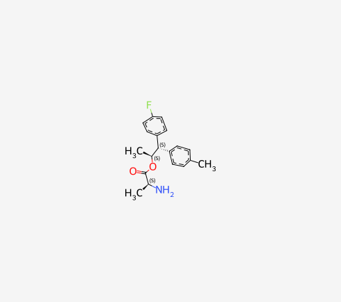 Cc1ccc([C@@H](c2ccc(F)cc2)[C@H](C)OC(=O)[C@H](C)N)cc1